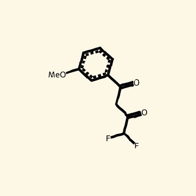 COc1cccc(C(=O)CC(=O)C(F)F)c1